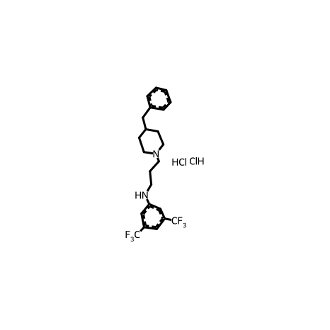 Cl.Cl.FC(F)(F)c1cc(NCCCN2CCC(Cc3ccccc3)CC2)cc(C(F)(F)F)c1